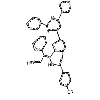 N#Cc1ccc(C2=Cc3ccc(-c4cc(-c5ccccc5)nc(-c5ccccc5)n4)cc3/C(=C(/C=N)c3ccccc3)N2)cc1